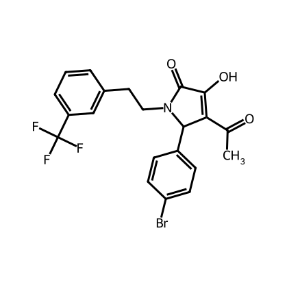 CC(=O)C1=C(O)C(=O)N(CCc2cccc(C(F)(F)F)c2)C1c1ccc(Br)cc1